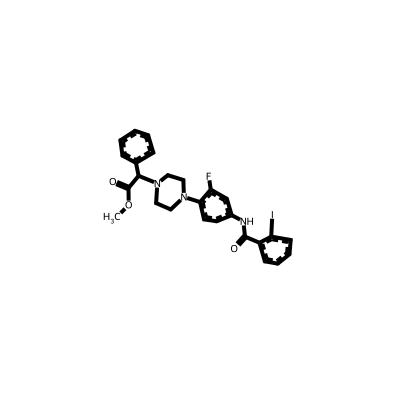 COC(=O)C(c1ccccc1)N1CCN(c2ccc(NC(=O)c3ccccc3I)cc2F)CC1